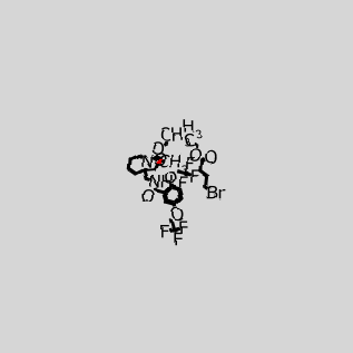 CCCC1(CNC(=O)c2cc(OCC(F)(F)F)ccc2OCC(F)(F)F)CCCCN1C(=O)OCC.CCOC(=O)CCCBr